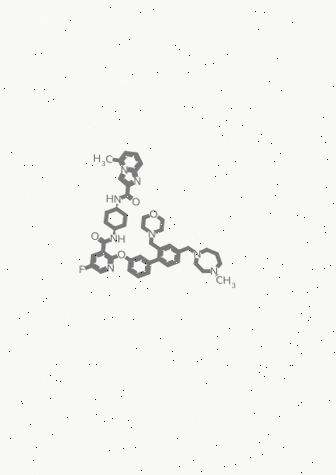 Cc1cccc2nc(C(=O)N[C@H]3CC[C@H](NC(=O)c4cc(F)cnc4Oc4cccc(-c5ccc(CN6CCCN(C)CC6)cc5CN5CCOCC5)c4)CC3)cn12